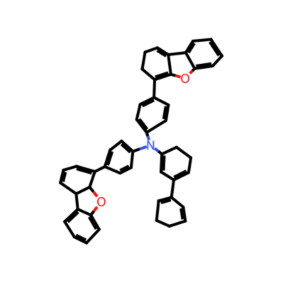 C1=CC2c3ccccc3OC2C(c2ccc(N(C3=CC(C4=CCCC=C4)=CCC3)c3ccc(C4=c5oc6ccccc6c5=CCC4)cc3)cc2)=C1